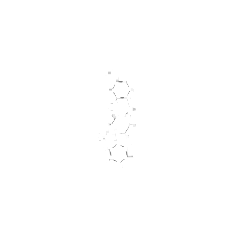 Brc1ccc2c(c1)OC1=CC(Br)(c3ccccc3)C=CC1=N2